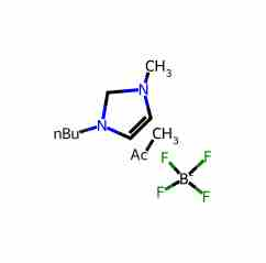 CC(C)=O.CCCCN1C=CN(C)C1.F[B-](F)(F)F